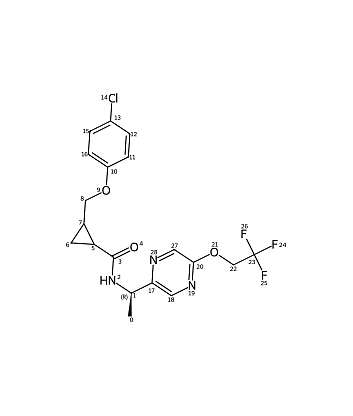 C[C@@H](NC(=O)C1CC1COc1ccc(Cl)cc1)c1cnc(OCC(F)(F)F)cn1